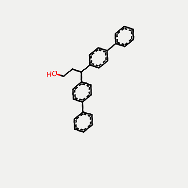 OCCC(c1ccc(-c2ccccc2)cc1)c1ccc(-c2ccccc2)cc1